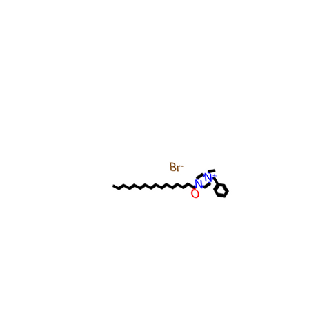 CCCCCCCCCCCCCCCC(=O)N1CC[N+](CC)(Cc2ccccc2)CC1.[Br-]